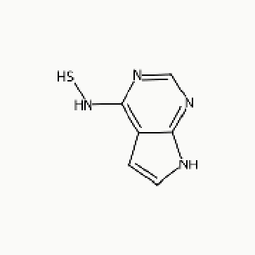 SNc1ncnc2[nH]ccc12